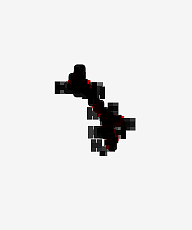 NSc1ccc(NC(=O)CN(CCN(CC(=O)NCCOCCOCCNC(=S)Nc2ccc(-c3c4ccc(=O)cc-4oc4cc(O)ccc34)c(C(=O)O)c2)CC(=O)Nc2ccc(S)cc2)CC(=O)O)cc1